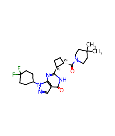 CC1(C)CCN(C(=O)[C@H]2CC[C@@H]2c2nc3c(cnn3C3CCC(F)(F)CC3)c(=O)[nH]2)CC1